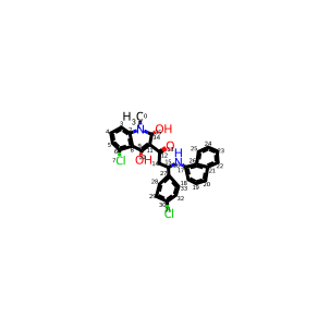 CN1c2cccc(Cl)c2C(O)=C(C(=O)CC(Nc2cccc3ccccc23)c2ccc(Cl)cc2)C1O